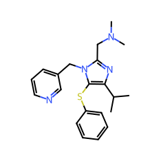 CC(C)c1nc(CN(C)C)n(Cc2cccnc2)c1Sc1ccccc1